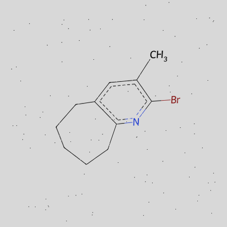 Cc1cc2c(nc1Br)CCCCC2